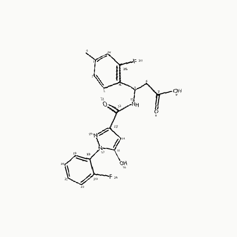 Cc1ccc(C(CC(=O)O)NC(=O)c2cc(O)n(-c3ccccc3F)n2)c(F)c1